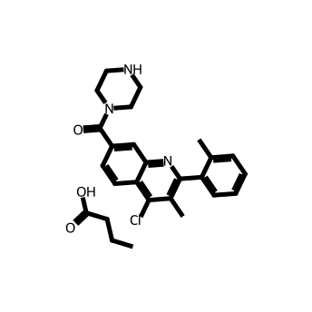 CCCC(=O)O.Cc1ccccc1-c1nc2cc(C(=O)N3CCNCC3)ccc2c(Cl)c1C